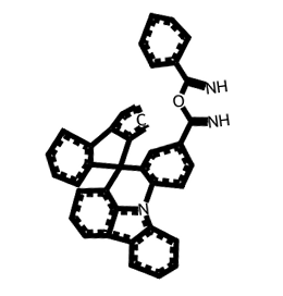 N=C(OC(=N)c1ccc2c(c1)C1(c3ccccc3-c3ccccc31)c1cccc3c4ccccc4n-2c13)c1ccccc1